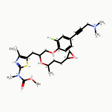 CCOC(=O)c1nc(N(C)C(=O)OC(C)(C)C)sc1CC(COc1ccc(C#CCN(C)C)cc1F)OC(C)CCC1CO1